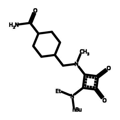 CCCCN(CC)c1c(N(C)CC2CCC(C(N)=O)CC2)c(=O)c1=O